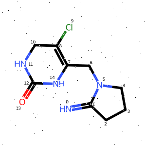 N=C1CCCN1CC1=C(Cl)CNC(=O)N1